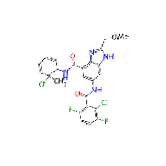 COCc1nc2c(C(=O)NC3C=CC=CC3(C)Cl)cc(NC(=O)c3c(F)ccc(F)c3Cl)cc2[nH]1